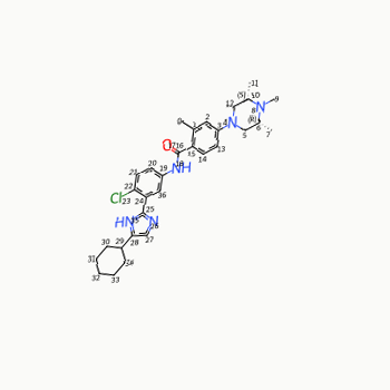 Cc1cc(N2C[C@@H](C)N(C)[C@@H](C)C2)ccc1C(=O)Nc1ccc(Cl)c(-c2ncc(C3CCCCC3)[nH]2)c1